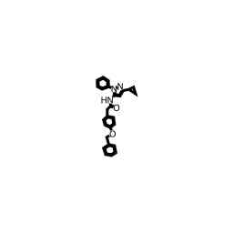 O=C(Cc1ccc(OCc2ccccc2)cc1)Nc1cc(C2CC2)nn1-c1ccccc1